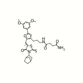 COc1cc(OC)cc(-c2cc(CCCNC(=O)CCC(N)=O)c(/C=C3\SC(=S)N(C4CC5CCC4C5)C3=O)o2)c1